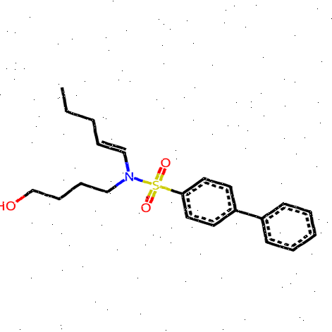 CCCC=CN(CCCCO)S(=O)(=O)c1ccc(-c2ccccc2)cc1